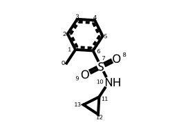 Cc1ccccc1S(=O)(=O)NC1CC1